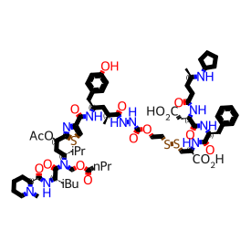 CCCC(=O)OCN(C(=O)[C@@H](NC(=O)[C@H]1CCCCN1C)C(C)CC)[C@H](C[C@H](OC(C)=O)c1nc(C(=O)N[C@@H](Cc2ccc(O)cc2)C[C@H](C)C(=O)NNC(=O)OCCSSC[C@H](NC(=O)[C@H](Cc2ccccc2)NC(=O)[C@H](CC(=O)O)NC(=O)CC[C@@H](C)NC2CCCC2)C(=O)O)cs1)C(C)C